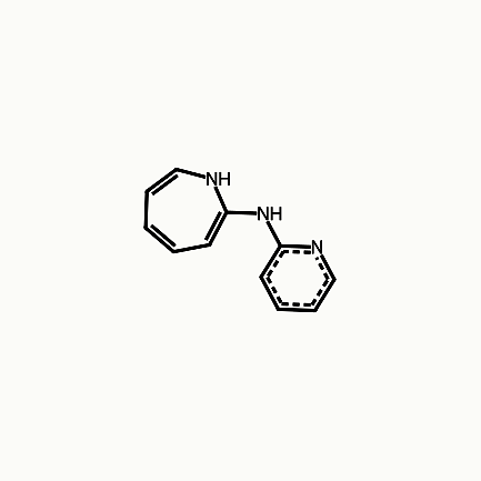 C1=CC=C(Nc2ccccn2)NC=C1